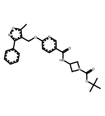 Cc1onc(-c2ccccc2)c1COc1ccc(C(=O)NC2CN(C(=O)OC(C)(C)C)C2)cn1